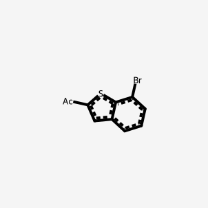 CC(=O)c1cc2cccc(Br)c2s1